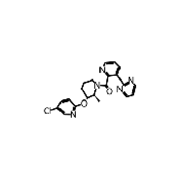 C[C@H]1[C@H](Oc2ccc(Cl)cn2)CCCN1C(=O)c1ncccc1-c1ncccn1